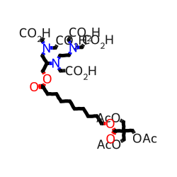 CC(=O)OCC(COC(C)=O)(COC(C)=O)C(=O)OCCCCCCCCCC(=O)OCC(CN(CC(=O)O)CC(=O)O)N(CCN(CC(=O)O)CC(=O)O)CC(=O)O